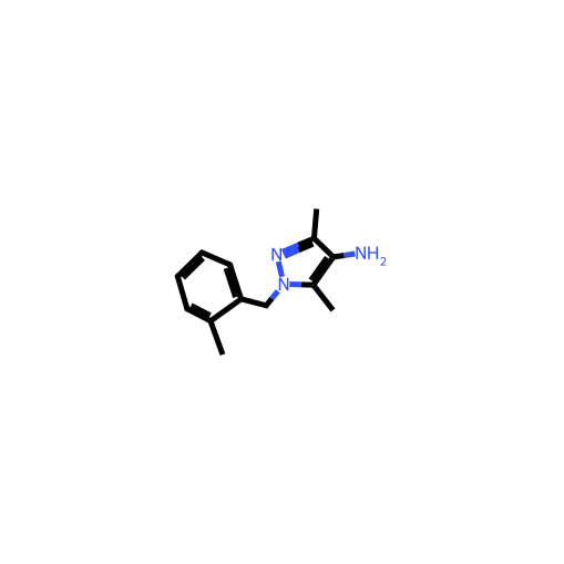 Cc1ccccc1Cn1nc(C)c(N)c1C